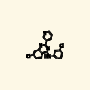 Clc1cccc(Nc2nc(-c3cccnc3)nc3cc(Cl)ccc23)c1